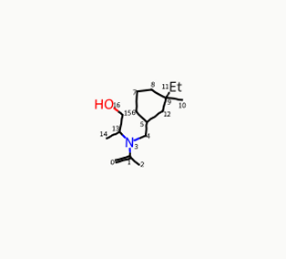 C=C(C)N(CC1CCCC(C)(CC)C1)C(C)CO